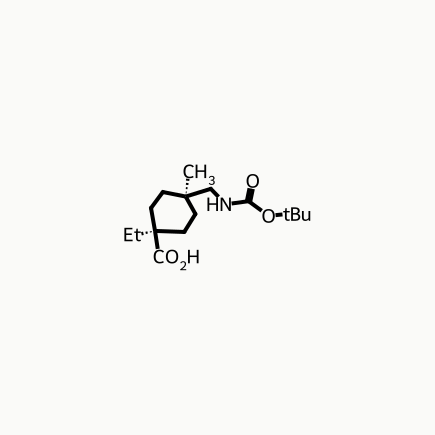 CC[C@]1(C(=O)O)CC[C@@](C)(CNC(=O)OC(C)(C)C)CC1